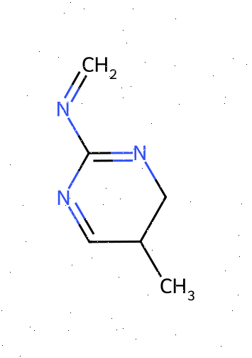 C=NC1=NCC(C)C=N1